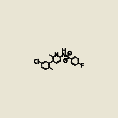 Cc1ccc(Cl)cc1-c1ccc(NS(=O)(=O)c2ccc(F)cc2)nc1C